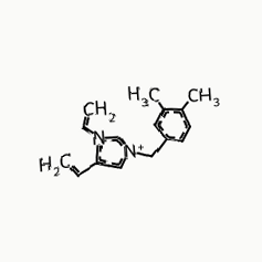 C=Cc1c[n+](Cc2ccc(C)c(C)c2)cn1C=C